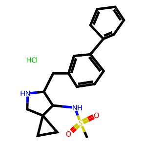 CS(=O)(=O)NC1C(Cc2cccc(-c3ccccc3)c2)NCC12CC2.Cl